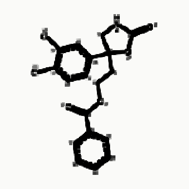 O=C1NCC(CCOC(=O)c2ccccc2)(c2ccc(Cl)c(Cl)c2)O1